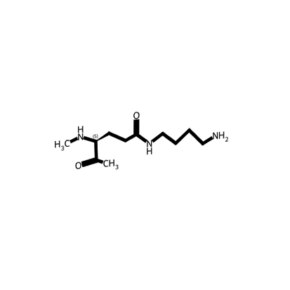 CN[C@@H](CCC(=O)NCCCCN)C(C)=O